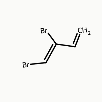 C=C/C(Br)=C/Br